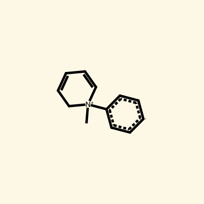 C[N+]1(c2cc[c]cc2)C=CC=CC1